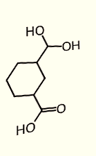 O=C(O)C1CCCC(C(O)O)C1